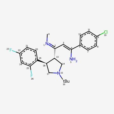 C/N=C(\C=C(/N)c1ccc(Cl)cc1)[C@@H]1CN(C(C)(C)C)C[C@H]1c1ccc(F)cc1F